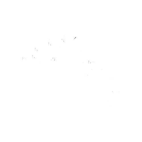 CCn1cc2ncc(N[C@@H](C)c3cccc(NC(=O)Cc4ccc(F)c(C)c4)c3)nc2n1